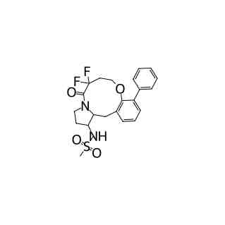 CS(=O)(=O)NC1CCN2C(=O)C(F)(F)CCOc3c(cccc3-c3ccccc3)CC12